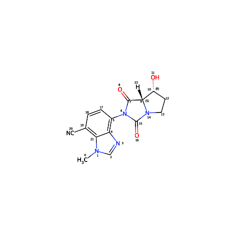 Cn1cnc2c(N3C(=O)[C@@H]4[C@H](O)CCN4C3=O)ccc(C#N)c21